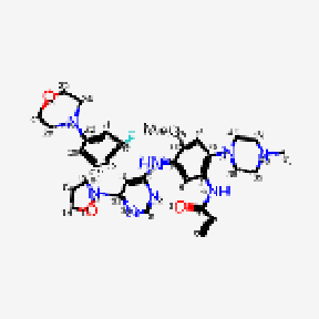 C=CC(=O)Nc1cc(Nc2cc(N3OCC[C@@H]3c3cc(F)cc(N4CCOCC4)c3)ncn2)c(OC)cc1N1CCN(C)CC1